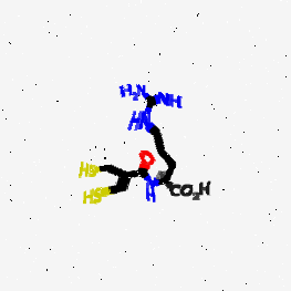 N=C(N)NCCC[C@H](NC(=O)C(CS)CS)C(=O)O